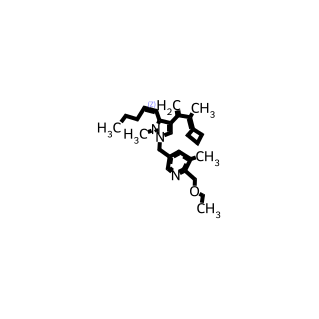 C=C(C1=CN(Cc2cnc(COCC)c(C)c2)N(C)C1/C=C\CCC)C(C)=C1CCC1